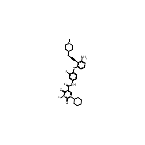 CCn1c(=O)c(C(=O)Nc2ccc(Oc3ccnc(N)c3C#CCC3CCN(C)CC3)c(F)c2)cn(C2CCCCC2)c1=O